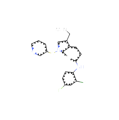 CNCc1cn(Sc2cccnc2)c2cc(Nc3ccc(F)cc3Cl)ccc12